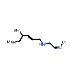 CCCC(/C=C/CNC/C=N\CC)CNC